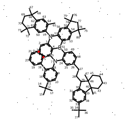 Cc1cc2c3c(c1)N(c1ccc(C(C)(C)C)cc1-c1ccccc1)c1cc(CCC4c5ccc(C(C)(C)C)cc5C5(C)CCCCC45C)ccc1B3c1cc3c(cc1N2c1cc2c(cc1C)C(C)(C)CCC2(C)C)C(C)(C)CC3(C)C